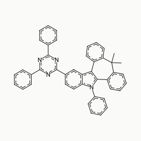 CC1(C)c2ccccc2-c2c(n(-c3ccccc3)c3ccc(-c4nc(-c5ccccc5)nc(-c5ccccc5)n4)cc23)-c2ccccc21